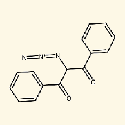 [N-]=[N+]=NC(C(=O)c1ccccc1)C(=O)c1ccccc1